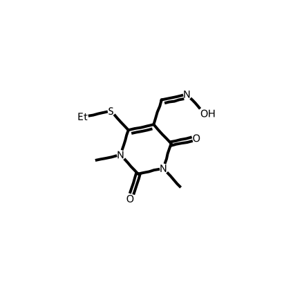 CCSc1c(/C=N\O)c(=O)n(C)c(=O)n1C